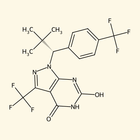 CC(C)(C)[C@H](c1ccc(C(F)(F)F)cc1)n1nc(C(F)(F)F)c2c(=O)[nH]c(O)nc21